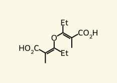 CCC(OC(CC)=C(C)C(=O)O)=C(C)C(=O)O